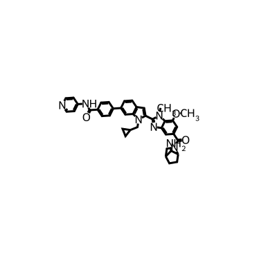 COc1cc(C(=O)N2CC3CCC2C3N)cc2nc(-c3cc4ccc(-c5ccc(C(=O)Nc6ccncc6)cc5)cc4n3CC3CC3)n(C)c12